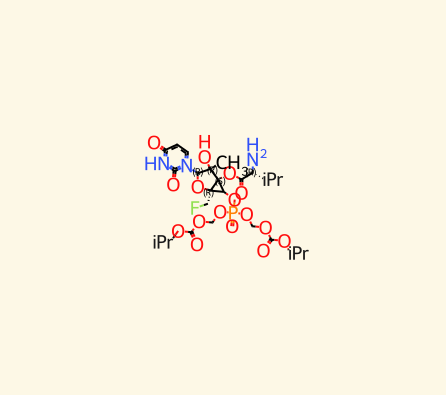 CC(C)OC(=O)OCOP(=O)(OCOC(=O)OC(C)C)OC1[C@]2(OC(=O)[C@H](N)C(C)C)[C@@](C)(O)[C@H](n3ccc(=O)[nH]c3=O)O[C@]12CF